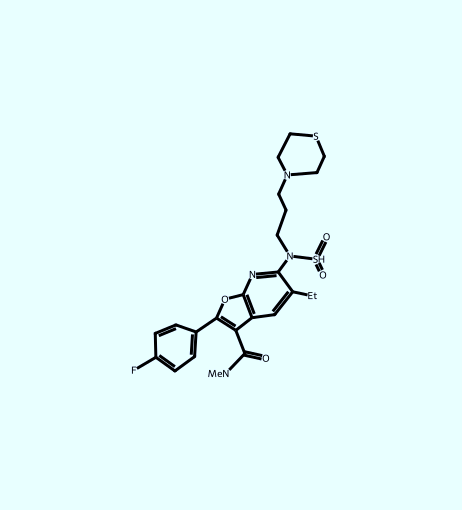 CCc1cc2c(C(=O)NC)c(-c3ccc(F)cc3)oc2nc1N(CCCN1CCSCC1)[SH](=O)=O